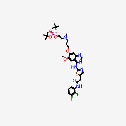 COc1cc2c(Nc3ncc(CC(=O)Nc4cccc(F)c4F)s3)ncnc2cc1OCCCN(C)CCOP(=O)(OC(C)(C)C)OC(C)(C)C